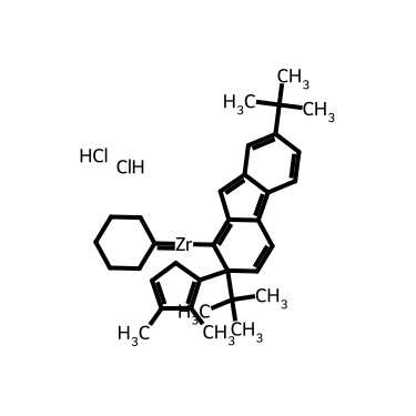 CC1=CCC(C2(C(C)(C)C)C=CC3=c4ccc(C(C)(C)C)cc4=CC3=[C]2[Zr]=[C]2CCCCC2)=C1C.Cl.Cl